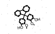 COc1cc(C2(c3ccc(O)c(OC)c3)c3ccccc3-c3ccccc32)ccc1O